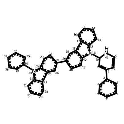 C1=CC(c2ccccc2)=CC(n2c3ccccc3c3cc(-c4ccc5c(c4)c4ccccc4n5-c4ccccc4)ccc32)N1